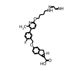 Cc1nc(OCCCCN/N=C\C=N)ccc1-c1ccc(F)c(COc2ccc3c(c2)C[C@H]2C(C(=O)O)=C32)c1